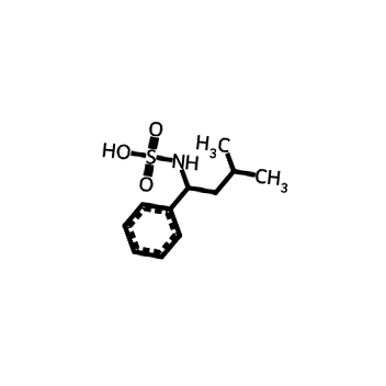 CC(C)CC(NS(=O)(=O)O)c1ccccc1